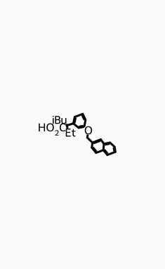 CCC(C)C(CC)(C(=O)O)c1cccc(OCc2ccc3ccccc3c2)c1